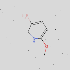 BC1=CC=C(OC)NC1